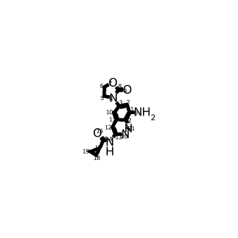 Nc1cc(N2CCOC2=O)cc2cc(NC(=O)C3CC3)nnc12